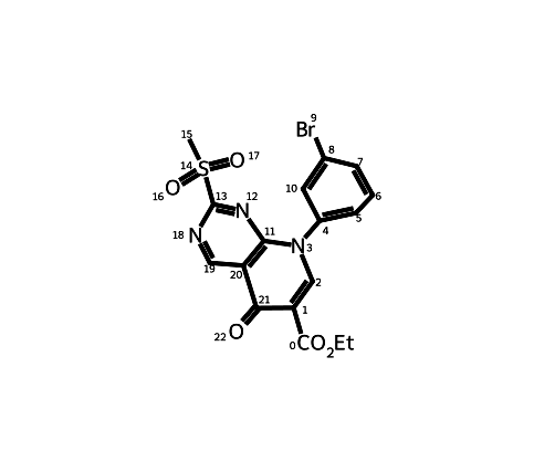 CCOC(=O)c1cn(-c2cccc(Br)c2)c2nc(S(C)(=O)=O)ncc2c1=O